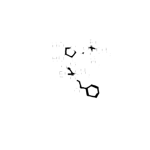 CCC(C)(C)OC[C@H]1O[C@H](O)[C@H](O)[C@H]1OC(=O)C(C)(CC)OCC(=O)c1ccccc1